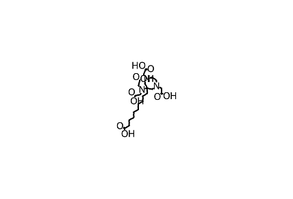 O=C(O)CCCCCCCCCC1(N(CC(=O)O)CC(=O)O)CN(CC(=O)O)CCN(CC(=O)O)C1